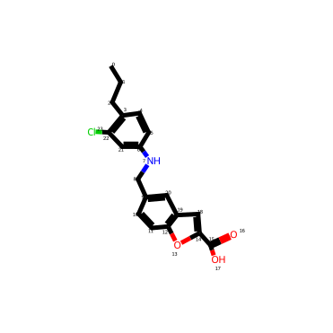 CCCc1ccc(NCc2ccc3oc(C(=O)O)cc3c2)cc1Cl